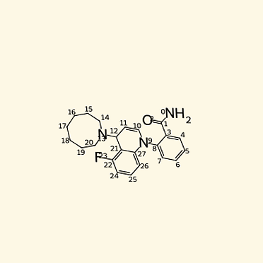 NC(=O)c1ccccc1N1C=CC(N2CCCCCCC2)c2c(F)cccc21